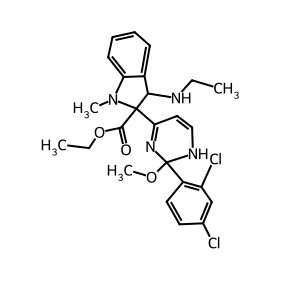 CCNC1c2ccccc2N(C)C1(C(=O)OCC)C1=NC(OC)(c2ccc(Cl)cc2Cl)NC=C1